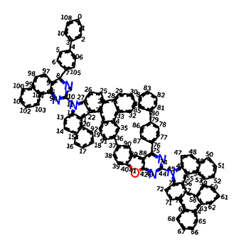 c1ccc(-c2ccc(-c3nc(-n4c5ccc6ccccc6c5c5c6c(ccc54)c4ccccc4c4cc(-c5ccc7oc8nc(-n9c%10ccc%11ccccc%11c%10c%10c%11c%12ccccc%12c%12ccccc%12c%11ccc%109)nc(-c9ccc(-c%10ccccc%10)cc9)c8c7c5)ccc46)nc4c3ccc3ccccc34)cc2)cc1